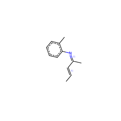 C/C=C/C(C)=N\c1ccccc1C